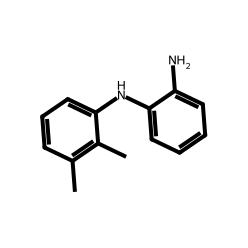 Cc1cccc(Nc2ccccc2N)c1C